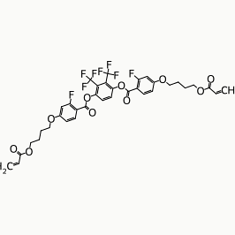 C=CC(=O)OCCCCOc1ccc(C(=O)Oc2ccc(OC(=O)c3ccc(OCCCCOC(=O)C=C)cc3F)c(C(F)(F)F)c2C(F)(F)F)c(F)c1